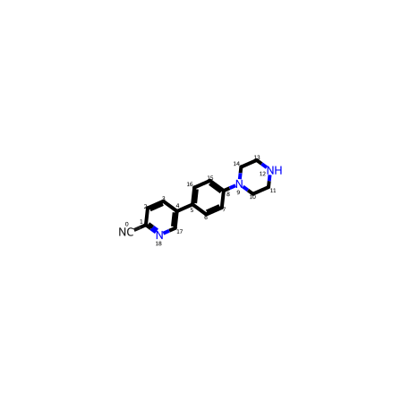 N#Cc1ccc(-c2ccc(N3CCNCC3)cc2)cn1